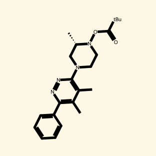 Cc1c(-c2ccccc2)nnc(N2CCN(OC(=O)C(C)(C)C)[C@@H](C)C2)c1C